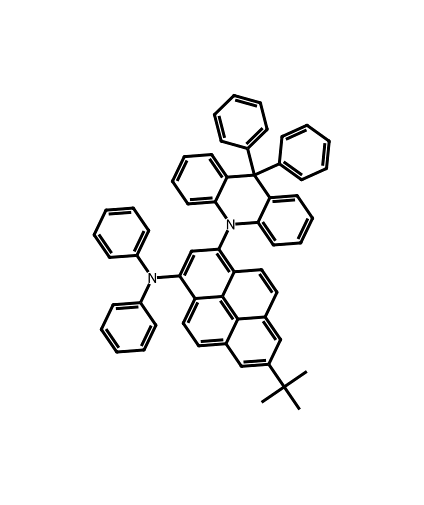 CC(C)(C)c1cc2ccc3c(N(c4ccccc4)c4ccccc4)cc(N4c5ccccc5C(c5ccccc5)(c5ccccc5)c5ccccc54)c4ccc(c1)c2c34